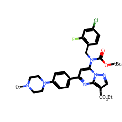 CCOC(=O)c1cnn2c(N(Cc3ccc(Cl)cc3F)C(=O)OC(C)(C)C)cc(-c3ccc(N4CCN(CC)CC4)cc3)nc12